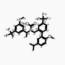 COc1ccc(C(C)C)cc1-c1ccc(C(F)(F)F)cc1CN(C(=O)O)C(C)c1cc(SC)cc(C(F)(F)F)c1